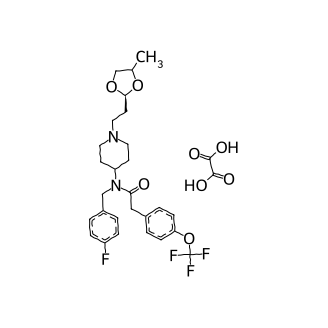 CC1CO[C@H](CCN2CCC(N(Cc3ccc(F)cc3)C(=O)Cc3ccc(OC(F)(F)F)cc3)CC2)O1.O=C(O)C(=O)O